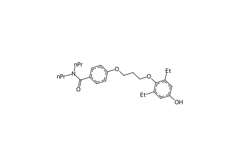 CCCN(CCC)C(=O)c1ccc(OCCCOc2c(CC)cc(O)cc2CC)cc1